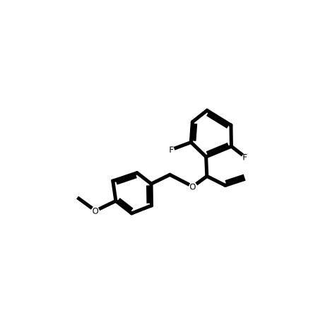 C=CC(OCc1ccc(OC)cc1)c1c(F)cccc1F